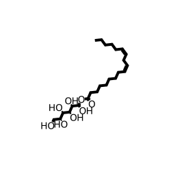 CCCCC/C=C\C/C=C\CCCCCCCC(=O)OC(O)[C@H](O)[C@@H](O)[C@H](O)[C@H](O)CO